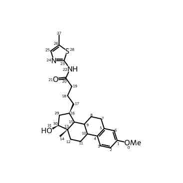 COc1ccc2c(c1)CCC1C2CC[C@@]2(C)C1[C@H](CCCC(=O)Nc1ncc(C)s1)C[C@@H]2O